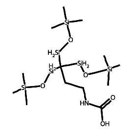 C[Si](C)(C)O[SiH2]C(CCNC(=O)O)([SiH2]O[Si](C)(C)C)[SiH2]O[Si](C)(C)C